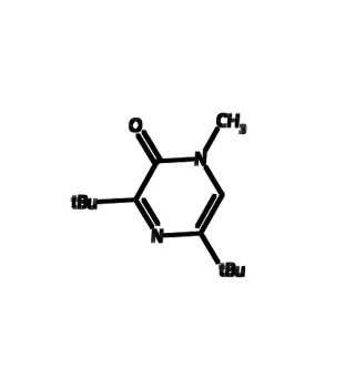 Cn1cc(C(C)(C)C)nc(C(C)(C)C)c1=O